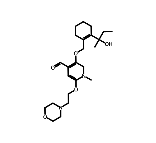 CCC(C)(O)C1=C(COC2=C(C=O)C=C(OCCN3CCOCC3)N(C)C2)CCCC1